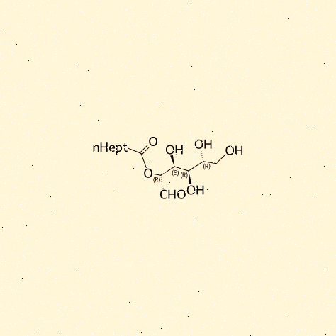 CCCCCCCC(=O)O[C@@H](C=O)[C@@H](O)[C@H](O)[C@H](O)CO